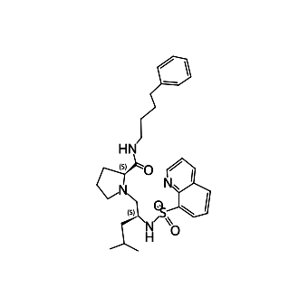 CC(C)C[C@@H](CN1CCC[C@H]1C(=O)NCCCCc1ccccc1)NS(=O)(=O)c1cccc2cccnc12